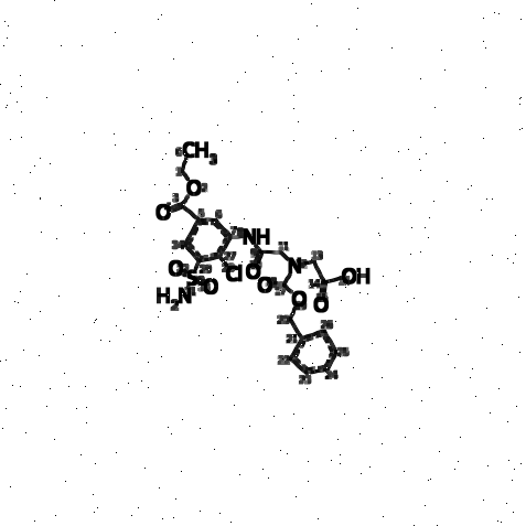 CCOC(=O)c1cc(NC(=O)CN(CC(=O)O)C(=O)OCc2ccccc2)c(Cl)c(S(N)(=O)=O)c1